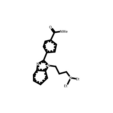 CCN(CC)CCCn1c(-c2ccc(C(=O)NC)cc2)nc2ccccc21